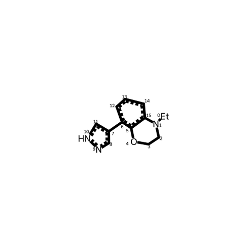 CCN1CCOc2c(-c3cn[nH]c3)cccc21